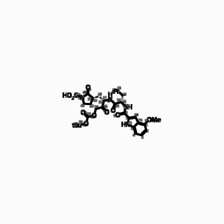 COc1cccc2[nH]c(C(=O)N[C@@H](CC(C)C)C(=O)N[C@@H](C[C@@H]3CCN(C(=O)O)C3=O)C(=O)COC(=O)OC(C)(C)C)cc12